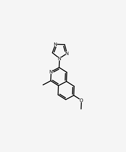 COc1ccc2c(C)nc(-n3cncn3)cc2c1